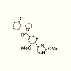 COc1nccc(-c2ccc(C(=O)N3CCC[C@@H]3c3ccccc3Cl)cc2OC)n1